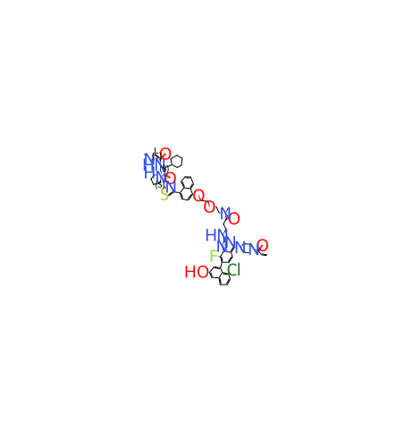 C=CC(=O)N1CCN(c2nc(NCCC(=O)N(C)CCOCCOc3ccc(-c4csc([C@@H]5CCCN5C(=O)[C@@H](NC(=O)[C@H](C)NC)C5CCCCC5)n4)c4ccccc34)nc3c(F)c(-c4cc(O)cc5ccccc45)c(Cl)cc23)CC1